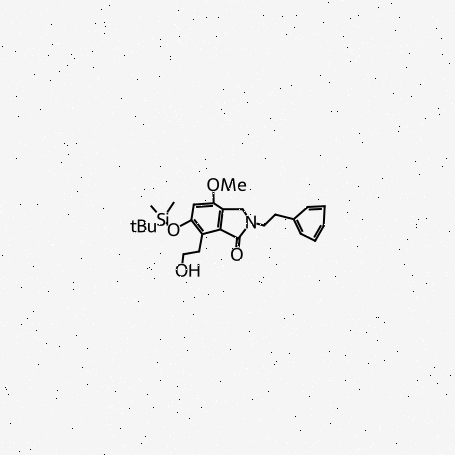 COc1cc(O[Si](C)(C)C(C)(C)C)c(CCO)c2c1CN(CCc1ccccc1)C2=O